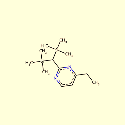 CCc1ccnc(C([Si](C)(C)C)[Si](C)(C)C)n1